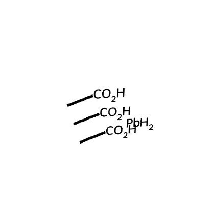 CC(=O)O.CC(=O)O.CC(=O)O.[PbH2]